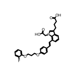 O=C(O)CCCc1cn(CC(=O)O)c2c(C=Cc3ccc(OCCCOc4ccccc4F)cc3)cccc12